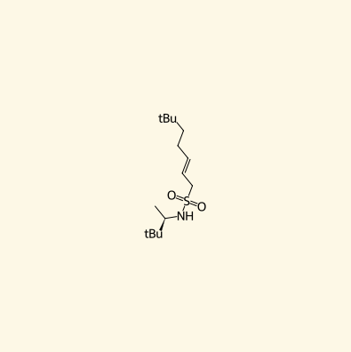 C[C@@H](NS(=O)(=O)C/C=C/CCC(C)(C)C)C(C)(C)C